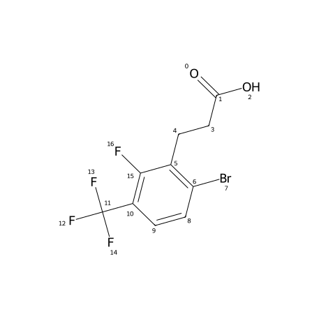 O=C(O)CCc1c(Br)ccc(C(F)(F)F)c1F